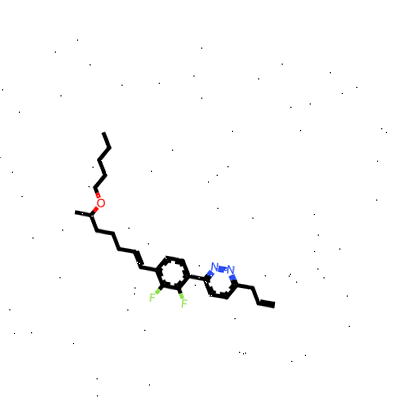 C=CCc1ccc(-c2ccc(/C=C/CCCC(C)OCCCCC)c(F)c2F)nn1